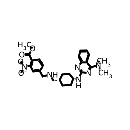 COC(=O)c1ccc(CNC[C@H]2CC[C@@H](Nc3nc(N(C)C)c4ccccc4n3)CC2)cc1[N+](=O)[O-]